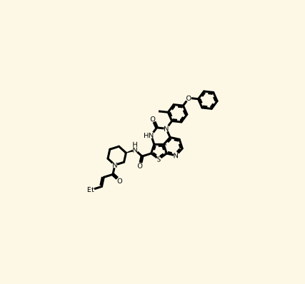 CC/C=C/C(=O)N1CCC[C@@H](NC(=O)c2sc3nccc4c3c2NC(=O)N4c2ccc(Oc3ccccc3)cc2C)C1